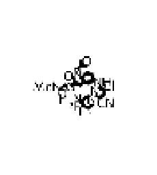 CNC(=O)COc1cc2cc(Nc3nc(N4C[C@@H](N)C(F)(F)[C@@H](C)C4)c(C#N)cc3Cl)ccc2n(CC2COC2)c1=O